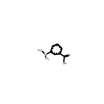 C[As](C)c1cccc(C(=O)O)c1